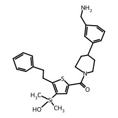 C[Si](C)(O)c1cc(C(=O)N2CCC(c3cccc(CN)c3)CC2)sc1CCc1ccccc1